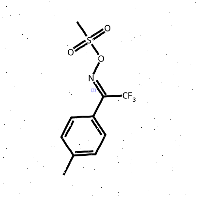 Cc1ccc(/C(=N/OS(C)(=O)=O)C(F)(F)F)cc1